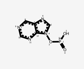 O=[PH](O)On1cnc2cncnc21